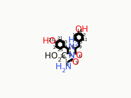 NCC(=O)N(C(=O)C(N)Cc1ccc(O)cc1)C(Cc1ccc(O)cc1)C(=O)O